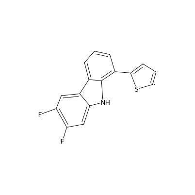 Fc1cc2[nH]c3c(-c4cc[c]s4)cccc3c2cc1F